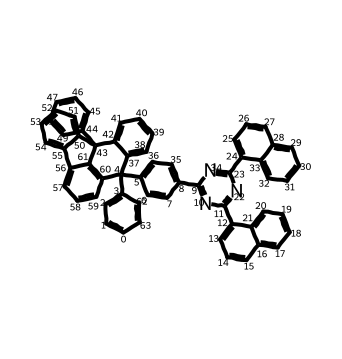 c1ccc(C2(c3ccc(-c4nc(-c5cccc6ccccc56)nc(-c5cccc6ccccc56)n4)cc3)c3ccccc3C3(c4ccccc4)c4ccccc4-c4cccc2c43)cc1